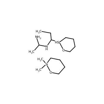 CCC(NC(C)N)[SiH]1CCCCO1.C[Si]1(C)CCCCO1